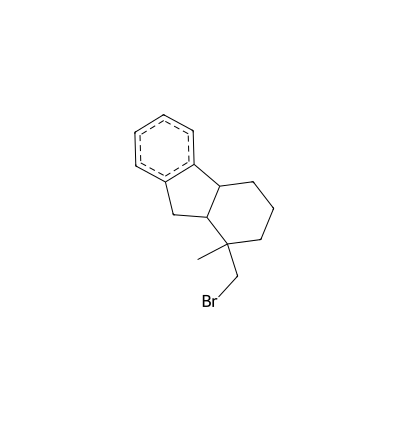 CC1(CBr)CCCC2c3ccccc3CC21